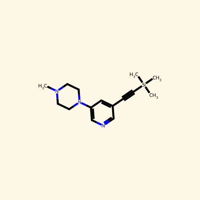 CN1CCN(c2cncc(C#C[Si](C)(C)C)c2)CC1